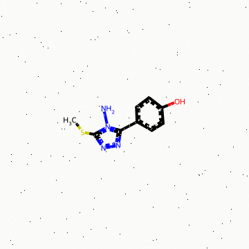 CSc1nnc(-c2ccc(O)cc2)n1N